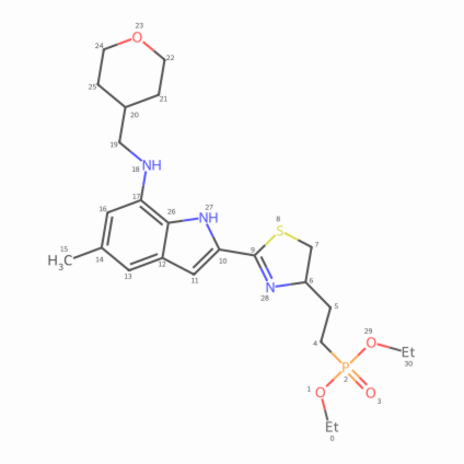 CCOP(=O)(CCC1CSC(c2cc3cc(C)cc(NCC4CCOCC4)c3[nH]2)=N1)OCC